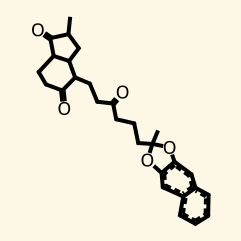 CC1CC2C(CCC(=O)CCCC3(C)Oc4cc5ccccc5cc4O3)C(=O)CCC2C1=O